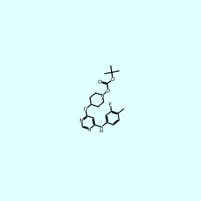 Cc1ccc(Nc2cc(OC3CCN(OC(=O)OC(C)(C)C)CC3)ncn2)cc1F